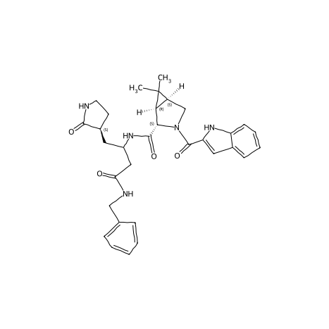 CC1(C)[C@@H]2[C@@H](C(=O)NC(CC(=O)NCc3ccccc3)C[C@@H]3CCNC3=O)N(C(=O)c3cc4ccccc4[nH]3)C[C@@H]21